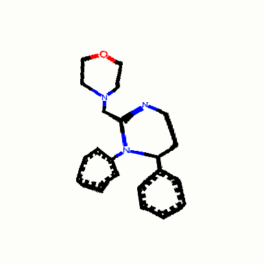 c1ccc(C2CCN=C(CN3CCOCC3)N2c2ccccc2)cc1